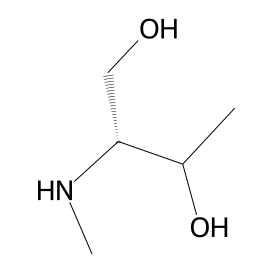 CN[C@H](CO)C(C)O